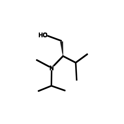 CC(C)[C@@H](CO)N(C)C(C)C